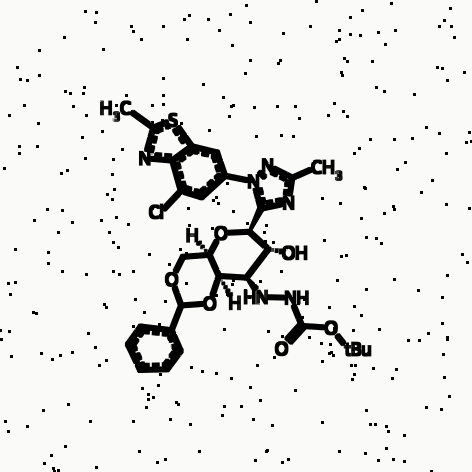 Cc1nc([C@@H]2O[C@@H]3COC(c4ccccc4)O[C@@H]3[C@H](NNC(=O)OC(C)(C)C)[C@H]2O)n(-c2cc(Cl)c3nc(C)sc3c2)n1